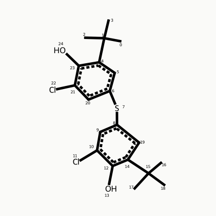 CC(C)(C)c1cc(Sc2cc(Cl)c(O)c(C(C)(C)C)c2)cc(Cl)c1O